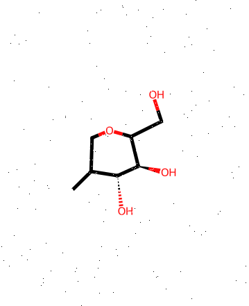 CC1COC(CO)[C@@H](O)[C@@H]1O